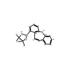 CC1(C)OB(c2cccc3c2C=Cc2ccccc2S3)OC1(C)C